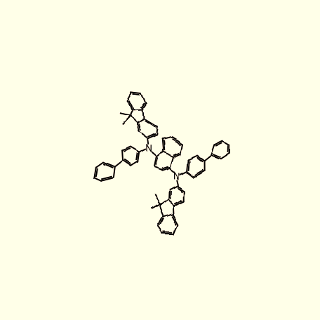 CC1(C)c2ccccc2-c2ccc(N(c3ccc(-c4ccccc4)cc3)c3ccc(N(c4ccc(-c5ccccc5)cc4)c4ccc5c(c4)C(C)(C)c4ccccc4-5)c4ccccc34)cc21